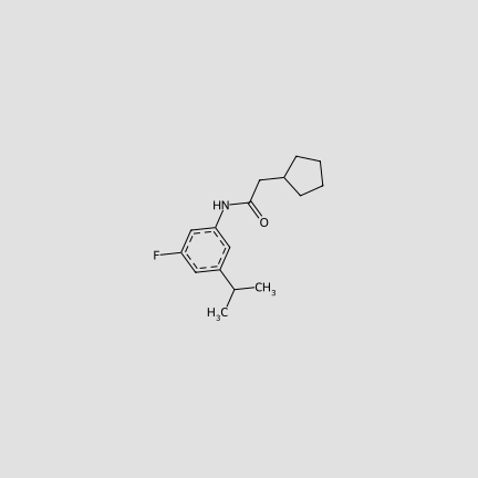 CC(C)c1cc(F)cc(NC(=O)CC2CCCC2)c1